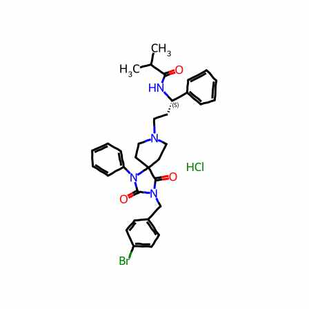 CC(C)C(=O)N[C@@H](CCN1CCC2(CC1)C(=O)N(Cc1ccc(Br)cc1)C(=O)N2c1ccccc1)c1ccccc1.Cl